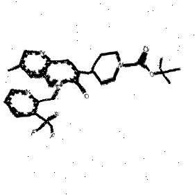 Cc1cnc2cc(C3CCN(C(=O)OC(C)(C)C)CC3)c(=O)n(Cc3ncccc3C(F)(F)F)c2c1